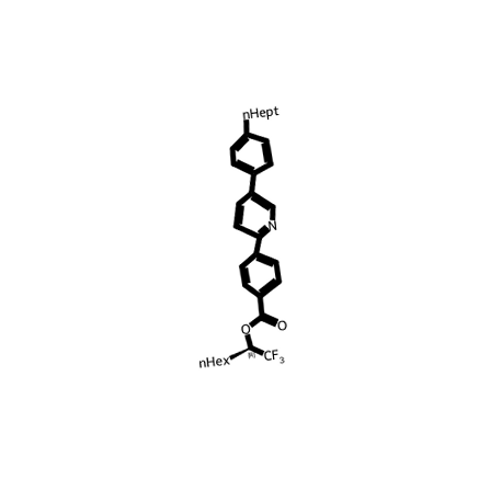 CCCCCCCc1ccc(-c2ccc(-c3ccc(C(=O)O[C@H](CCCCCC)C(F)(F)F)cc3)nc2)cc1